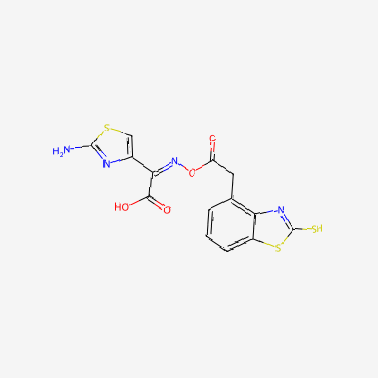 Nc1nc(C(=NOC(=O)Cc2cccc3sc(S)nc23)C(=O)O)cs1